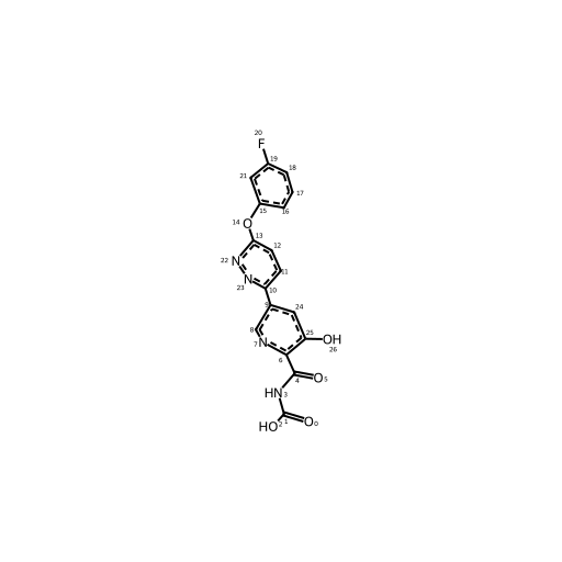 O=C(O)NC(=O)c1ncc(-c2ccc(Oc3cccc(F)c3)nn2)cc1O